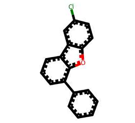 Clc1ccc2oc3c(-c4ccccc4)cccc3c2c1